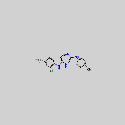 CCOC(=O)c1ccc(NC2=CC=NC(Nc3ccc(C#N)cc3)=CN2)c(Cl)c1